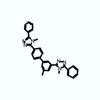 Cc1cc(-c2ccc(-c3nnc(-c4ccccc4)n3C)cc2)cc(-c2nnc(-c3ccccc3)n2C)c1